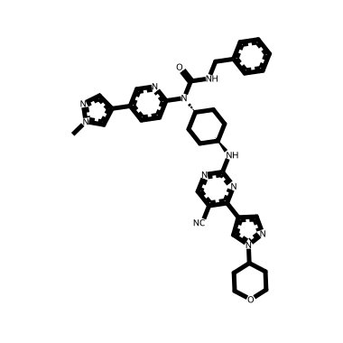 Cn1cc(-c2ccc(N(C(=O)NCc3ccccc3)[C@H]3CC[C@H](Nc4ncc(C#N)c(-c5cnn(C6CCOCC6)c5)n4)CC3)nc2)cn1